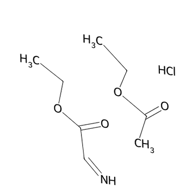 CCOC(=O)C=N.CCOC(C)=O.Cl